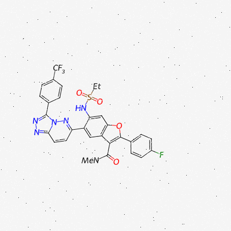 CCS(=O)(=O)Nc1cc2oc(-c3ccc(F)cc3)c(C(=O)NC)c2cc1-c1ccc2nnc(-c3ccc(C(F)(F)F)cc3)n2n1